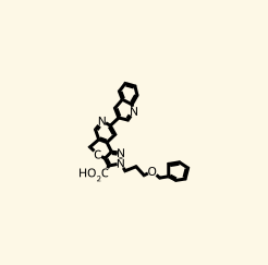 O=C(O)c1c2c(nn1CCCOCc1ccccc1)-c1cc(-c3cnc4ccccc4c3)ncc1CC2